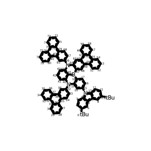 CC(C)(C)c1ccc2c(c1)c1cc(C(C)(C)C)ccc1n2-c1ccc2c(c1)N(c1ccc3c4ccccc4c4ccccc4c3c1)c1cccc3c1B2c1cc2c4ccccc4c4ccccc4c2cc1N3c1ccc2c3ccccc3c3ccccc3c2c1